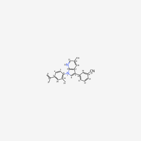 C=C(C)c1ccc(-n2cc(-c3cccc(C#N)c3)c3cc(C)cnc32)c(C)c1